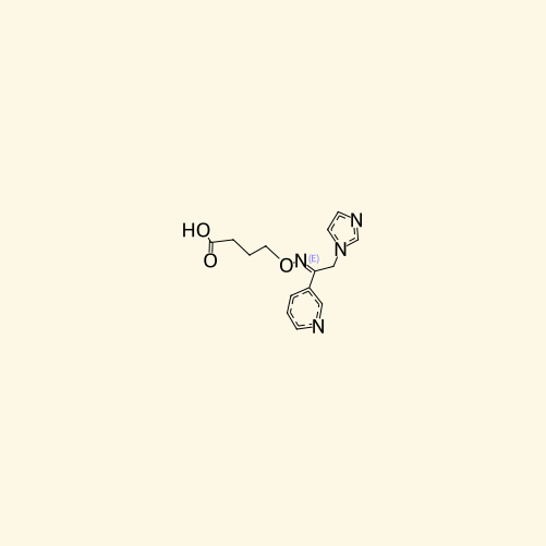 O=C(O)CCCO/N=C(/Cn1ccnc1)c1cccnc1